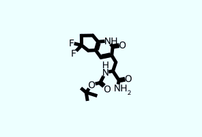 CC(C)(C)OC(=O)NC(Cc1cc2c([nH]c1=O)CCC(F)(F)C2)C(N)=O